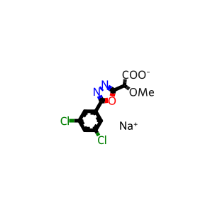 COC(C(=O)[O-])c1nnc(-c2cc(Cl)cc(Cl)c2)o1.[Na+]